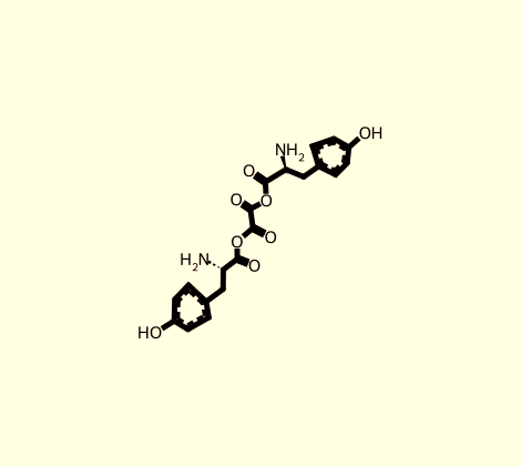 N[C@@H](Cc1ccc(O)cc1)C(=O)OC(=O)C(=O)OC(=O)[C@@H](N)Cc1ccc(O)cc1